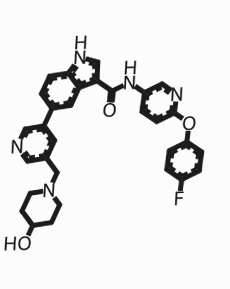 O=C(Nc1ccc(Oc2ccc(F)cc2)nc1)c1c[nH]c2ccc(-c3cncc(CN4CCC(O)CC4)c3)cc12